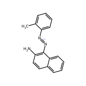 Cc1ccccc1/N=N/c1c(N)ccc2ccccc12